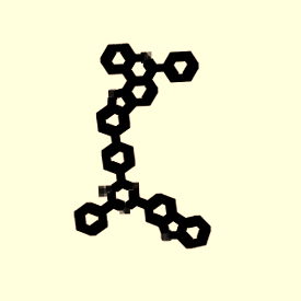 c1ccc(C2=NC(c3ccc4c(c3)oc3ccccc34)=NC(c3ccc(-c4ccc5sc6c(ccc7c(-c8ccccc8)nc8ccccc8c76)c5c4)cc3)N2)cc1